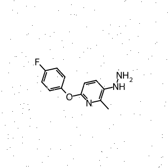 Cc1nc(Oc2ccc(F)cc2)ccc1NN